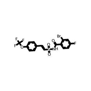 O=C(NS(=O)(=O)C=Cc1ccc(OC(F)(F)F)cc1)c1ccc(F)cc1Br